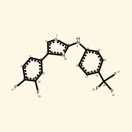 Fc1ccc(-c2csc(Nc3ccc(C(F)(F)F)cc3)n2)cc1F